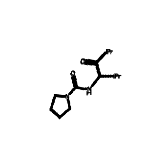 CC(C)C(=O)C(NC(=O)N1CCCC1)C(C)C